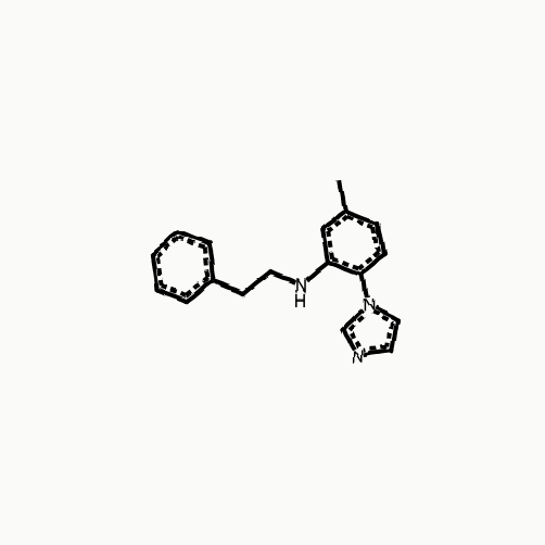 Cc1ccc(-n2ccnc2)c(NCCc2ccccc2)c1